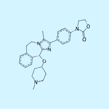 Cc1c(-c2ccc(N3CCOC3=O)cc2)nc2n1CCc1ccccc1C2OC1CCN(C)CC1